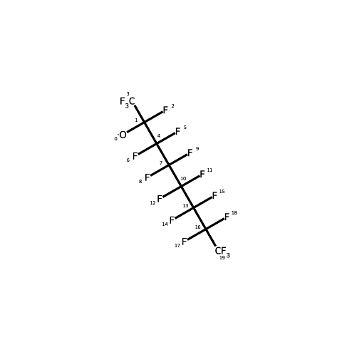 [O]C(F)(C(F)(F)F)C(F)(F)C(F)(F)C(F)(F)C(F)(F)C(F)(F)C(F)(F)F